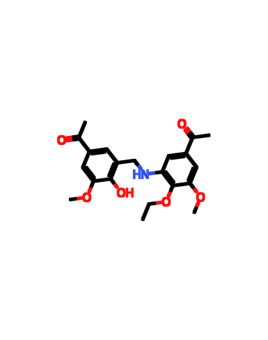 CCOc1c(NCc2cc(C(C)=O)cc(OC)c2O)cc(C(C)=O)cc1OC